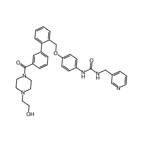 O=C(NCc1cccnc1)Nc1ccc(OCc2ccccc2-c2cccc(C(=O)N3CCN(CCO)CC3)c2)cc1